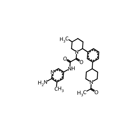 CC(=O)N1CCC(c2cccc(C3CCC(C)CN3C(=O)C(=O)Nc3cnc(N)c(C)c3)c2)CC1